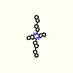 c1ccc2cc(-c3ccc4cc(/C5=N/c6cc7ccccc7cc6/C(c6ccc7cc(-c8ccc9ccccc9c8)ccc7c6)=N\c6cc7ccccc7cc65)ccc4c3)ccc2c1